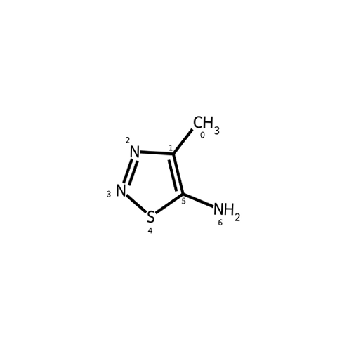 Cc1nnsc1N